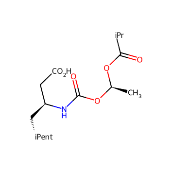 CCC[C@@H](C)C[C@@H](CC(=O)O)NC(=O)O[C@H](C)OC(=O)C(C)C